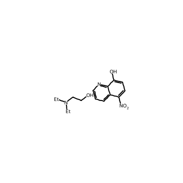 CCN(CC)CCO.O=[N+]([O-])c1ccc(O)c2ncccc12